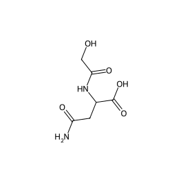 NC(=O)CC(NC(=O)CO)C(=O)O